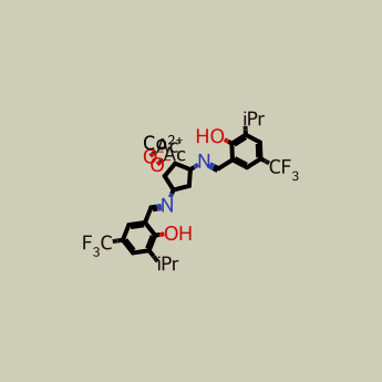 CC(=O)[O-].CC(=O)[O-].CC(C)c1cc(C(F)(F)F)cc(C=NC2CCC(N=Cc3cc(C(F)(F)F)cc(C(C)C)c3O)C2)c1O.[Co+2]